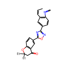 C=Nc1ccc(-c2noc(-c3ccc4c(c3)C(=O)CC(CC)(CC)O4)n2)cc1/C=C\C